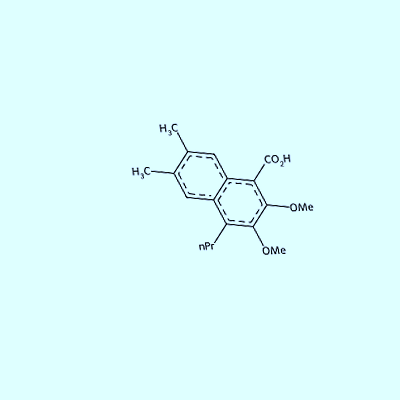 CCCc1c(OC)c(OC)c(C(=O)O)c2cc(C)c(C)cc12